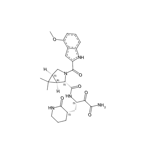 COc1cccc2[nH]c(C(=O)N3C[C@H]4[C@@H]([C@H]3C(=O)N[C@@H](C[C@@H]3CCCNC3=O)C(=O)C(N)=O)C4(C)C)cc12